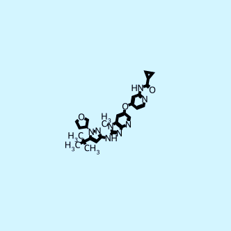 Cn1c(Nc2cc(C(C)(C)C)n([C@@H]3CCOC3)n2)nc2ncc(Oc3ccnc(NC(=O)C4CC4)c3)cc21